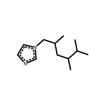 CC(CC(C)C(C)C)Cn1ccnc1